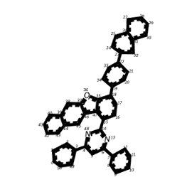 c1ccc(-c2cc(-c3ccccc3)nc(-c3ccc(-c4ccc(-c5ccc6ccccc6c5)cc4)c4oc5cc6ccccc6cc5c34)n2)cc1